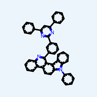 c1ccc(-c2cc(-c3ccccc3)nc(-c3cccc(-c4nc5ccccc5c5ccc6c(c7ccccc7n6-c6ccccc6)c45)c3)n2)cc1